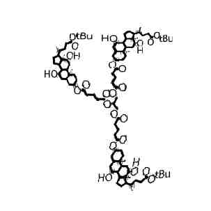 C[C@H](CCC(=O)OC(C)(C)C)C1CCC2C3C(C[C@H](O)[C@@]21C)[C@@]1(C)CC[C@@H](OC(=O)CCCC(=O)OCC(COC(=O)CCCC(=O)O[C@H]2CC[C@]4(C)C(C2)C[C@H](O)C2C4C[C@@H](O)[C@]4(C)C2CCC4[C@@H](C)CCC(=O)OC(C)(C)C)OC(=O)CCCC(=O)O[C@@H]2CC[C@@]4(C)C(C2)C[C@@H](O)C2C4C[C@H](O)[C@@]4(C)C2CCC4[C@H](C)CCC(=O)OC(C)(C)C)CC1C[C@H]3O